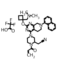 C=CC(=O)N1CCN(c2nc(OC3(CN(C)C)CCC3)nc3c2CCN(c2cccc4ccccc24)C3)CC1CC#N.O=C(O)C(F)(F)F